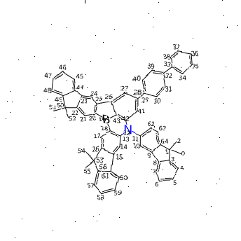 CC1(C)c2ccccc2-c2cc(N3c4cc5c(cc4B4c6cc7c(cc6-c6cc(-c8ccc(-c9ccccc9)cc8)cc3c64)-c3ccccc3C7(C)C)C(C)(C)c3ccccc3-5)ccc21